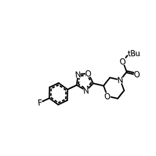 CC(C)(C)OC(=O)N1CCOC(c2nc(-c3ccc(F)cc3)no2)C1